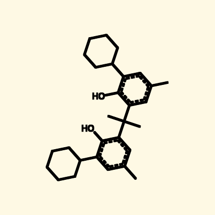 Cc1cc(C2CCCCC2)c(O)c(C(C)(C)c2cc(C)cc(C3CCCCC3)c2O)c1